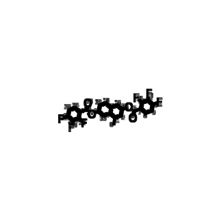 Cc1cc(OC(=O)c2ccc(F)c(F)c2F)cc2ccc(OC(=O)c3ccc(F)c(F)c3F)cc12